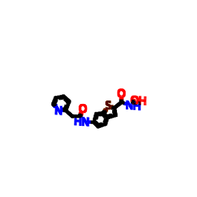 O=C(Cc1ccccn1)Nc1ccc2cc(C(=O)NO)sc2c1